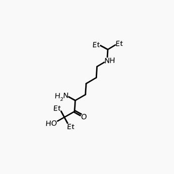 CCC(CC)NCCCCC(N)C(=O)C(O)(CC)CC